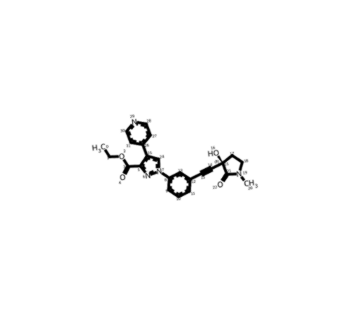 CCOC(=O)c1nn(-c2cccc(C#C[C@]3(O)CCN(C)C3=O)c2)cc1-c1ccncc1